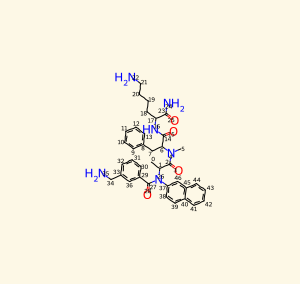 CC(C(=O)N(C)C(Cc1ccccc1)C(=O)NC(CCCCN)C(N)=O)N(C(=O)c1cccc(CN)c1)c1ccc2ccccc2c1